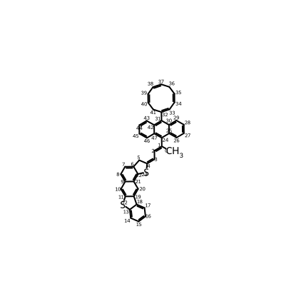 C/C(=C\C=C1/Cc2ccc3cc4sc5ccccc5c4cc3c2S1)c1c2ccccc2c(/C2=C/C=C\C/C=C\C=C/C2)c2ccccc12